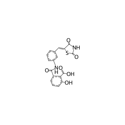 O=C1NC(=O)C(=Cc2cccc(NC(=O)c3cccc(O)c3C(=O)O)c2)S1